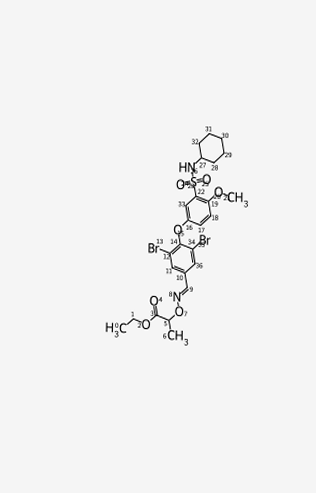 CCOC(=O)C(C)ON=Cc1cc(Br)c(Oc2ccc(OC)c(S(=O)(=O)NC3CCCCC3)c2)c(Br)c1